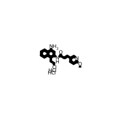 COc1ccc(/C=C/C(=O)Nc2cc(N)c3ccccc3c2CCCl)cn1.Cl.Cl